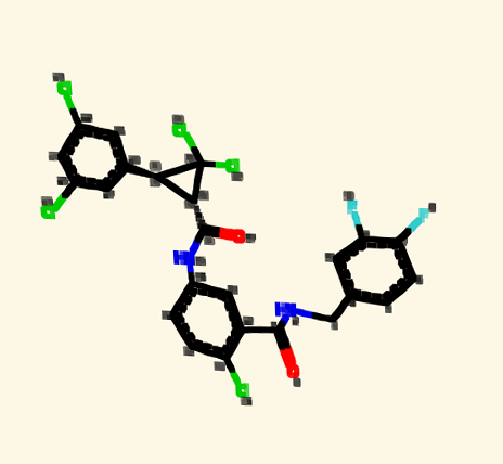 O=C(NCc1ccc(F)c(F)c1)c1cc(NC(=O)[C@@H]2[C@@H](c3cc(Cl)cc(Cl)c3)C2(Cl)Cl)ccc1Cl